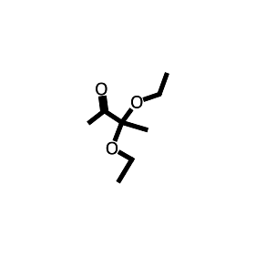 CCOC(C)(OCC)C(C)=O